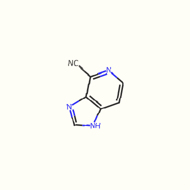 N#Cc1nccc2[nH]cnc12